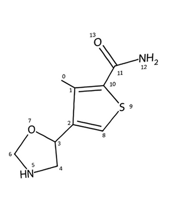 Cc1c(C2CNCO2)csc1C(N)=O